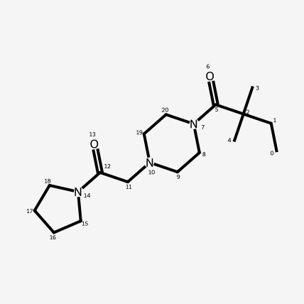 CCC(C)(C)C(=O)N1CCN(CC(=O)N2CCCC2)CC1